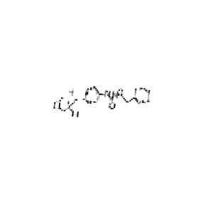 O=C(Nc1ccc([C@H]2[C@@H]3COC[C@@H]32)cc1)OCc1ccccc1